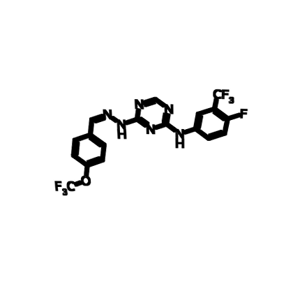 Fc1ccc(Nc2ncnc(N/N=C\c3ccc(OC(F)(F)F)cc3)n2)cc1C(F)(F)F